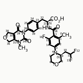 Cc1cc(N2CCOC[C@@H]2CC(F)F)cc(F)c1C(=O)N[C@@H](Cc1ccc(-n2c(=O)c3c(n(C)c2=O)COC3)cc1)C(=O)O